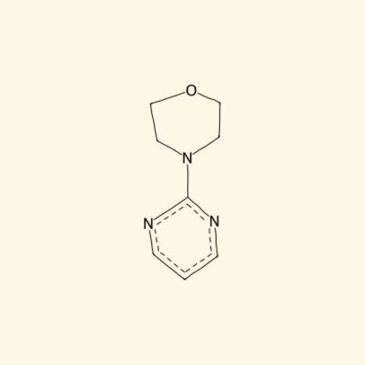 c1cnc(N2CCOCC2)nc1